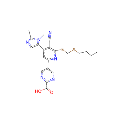 CCCCSCSc1nc(-c2cnc(C(=O)O)nc2)cc(-c2cnc(C)n2C)c1C#N